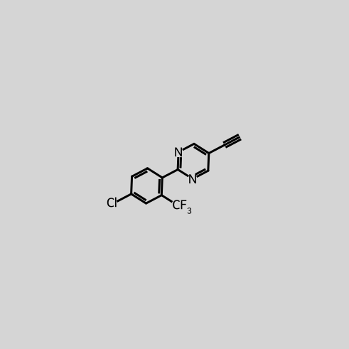 C#Cc1cnc(-c2ccc(Cl)cc2C(F)(F)F)nc1